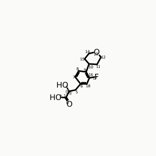 O=C(O)[C@@H](O)Cc1ccc(C2CCOCC2)c(F)c1